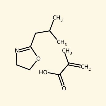 C=C(C)C(=O)O.CC(C)CC1=NCCO1